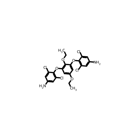 CCOc1cc(Oc2c(Cl)cc(N)cc2Cl)c(OCC)c(Oc2c(Cl)cc(N)cc2Cl)c1